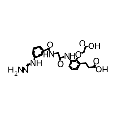 NN=CNc1cccc(C(=O)NCC(=O)Nc2cccc(CCC(=O)O)c2OCC(=O)O)c1